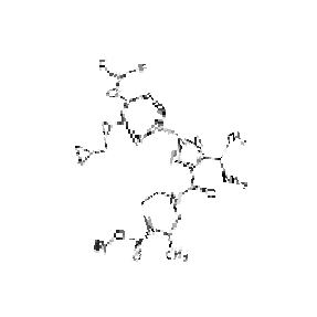 CC(C)OC(=O)N1CCN(C(=O)c2nc(-c3ccc(OC(F)F)c(OCC4CC4)c3)oc2[C@H](C)N)C[C@H]1C